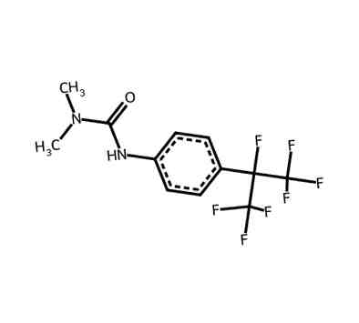 CN(C)C(=O)Nc1ccc(C(F)(C(F)(F)F)C(F)(F)F)cc1